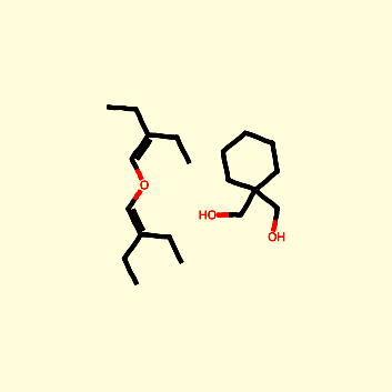 CCC(=COC=C(CC)CC)CC.OCC1(CO)CCCCC1